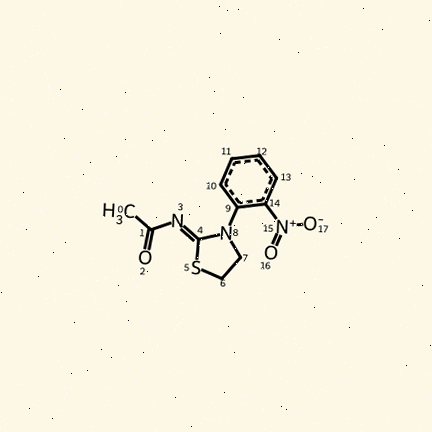 CC(=O)N=C1SCCN1c1ccccc1[N+](=O)[O-]